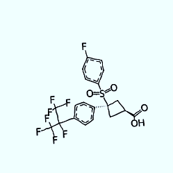 O=C(O)[C@H]1C[C@@](c2ccc(C(F)(C(F)(F)F)C(F)(F)F)cc2)(S(=O)(=O)c2ccc(F)cc2)C1